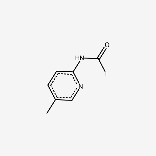 Cc1ccc(NC(=O)I)nc1